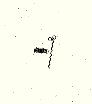 CCCCCCCCCCCCCC(=O)[O-].[Cr+3].[Cr+3].[OH-].[OH-].[OH-].[OH-].[OH-]